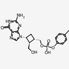 Cc1ccc(OP(=O)(O)OC[C@H]2C[C@@H](n3cnc4c(=O)[nH]c(N)nc43)[C@@H]2CO)cc1